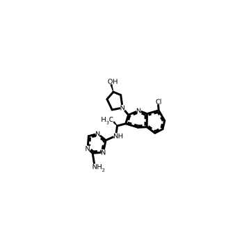 C[C@H](Nc1ncnc(N)n1)c1cc2cccc(Cl)c2nc1N1CC[C@@H](O)C1